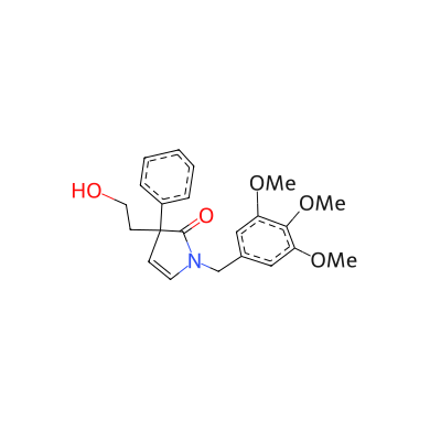 COc1cc(CN2C=CC(CCO)(c3ccccc3)C2=O)cc(OC)c1OC